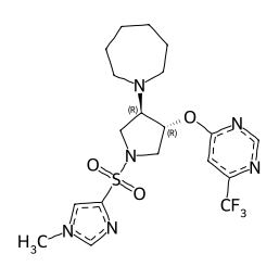 Cn1cnc(S(=O)(=O)N2C[C@@H](N3CCCCCC3)[C@H](Oc3cc(C(F)(F)F)ncn3)C2)c1